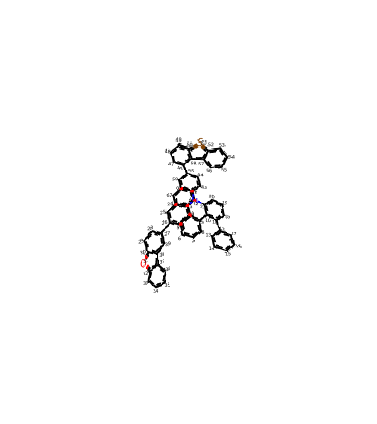 c1ccc(-c2ccccc2-c2c(-c3ccccc3)cccc2N(c2ccc(-c3ccc4oc5ccccc5c4c3)cc2)c2ccc(-c3cccc4sc5ccccc5c34)cc2)cc1